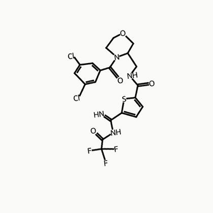 N=C(NC(=O)C(F)(F)F)c1ccc(C(=O)NCC2COCCN2C(=O)c2cc(Cl)cc(Cl)c2)s1